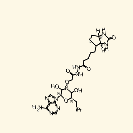 CC(C)C[C@H]1O[C@@H](n2cnc3c(N)ncnc32)C(O)N(OCC(=O)NNC(=O)CCCCC2SC[C@@H]3NC(=O)N[C@H]23)C1O